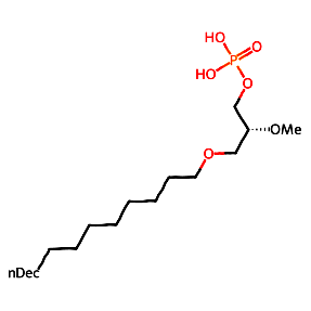 CCCCCCCCCCCCCCCCCCOC[C@H](COP(=O)(O)O)OC